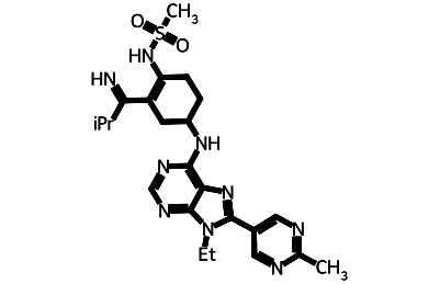 CCn1c(-c2cnc(C)nc2)nc2c(NC3CCC(NS(C)(=O)=O)=C(C(=N)C(C)C)C3)ncnc21